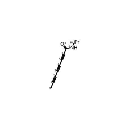 CC#CC#CC#CC(=O)NC(C)C